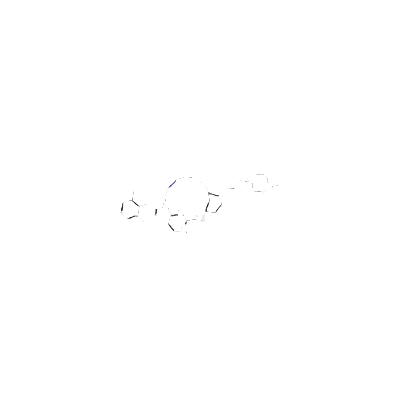 CCN1CCN(CCOc2ccc3cc2COC/C=C\CN(C(=O)Oc2c(C)cccc2C)c2ccnc(n2)N3)CC1